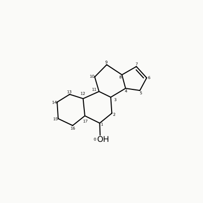 OC1CC2C3CC=CC3CCC2C2CCCCC12